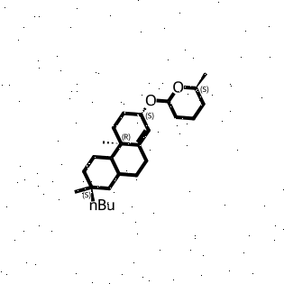 CCCC[C@@]1(C)CCC2C(CCC3=C[C@@H](OC4CCC[C@H](C)O4)CC[C@@]32C)C1